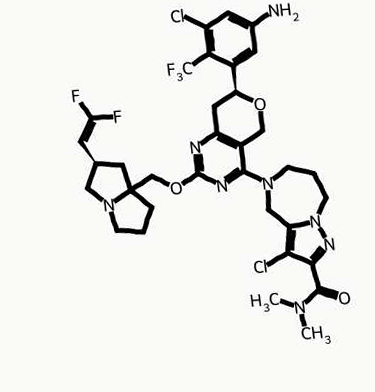 CN(C)C(=O)c1nn2c(c1Cl)CN(c1nc(OCC34CCCN3C[C@@H](C=C(F)F)C4)nc3c1CO[C@H](c1cc(N)cc(Cl)c1C(F)(F)F)C3)CCC2